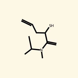 C=CCC(S)C(=C)N(C)C(C)C